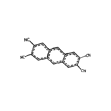 N#Cc1cc2cc3cc(C#N)c(C#N)cc3cc2cc1C#N